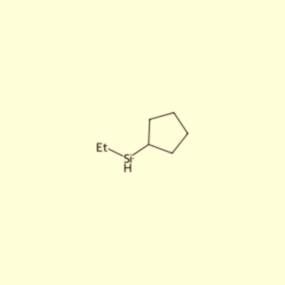 CC[SiH]C1CCCC1